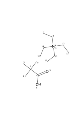 CC(C)(C)C(=O)O.CC[N+](CC)(CC)CC